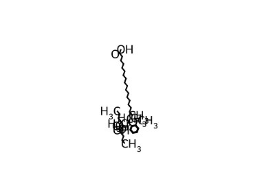 CC(C)c1ccccc1C(C)C.CCCCCCCCCCCCCCCCCC(=O)O.CCCCOOCCCC.OO